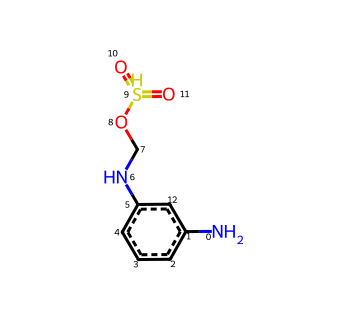 Nc1cccc(NCO[SH](=O)=O)c1